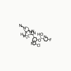 Cc1c(-c2cc(OC(CO)c3ccc(F)cn3)c3c(Cl)cnn3c2)nnn1[C@@H]1CCN(C#N)C[C@H]1C